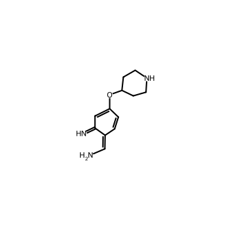 N=C1C=C(OC2CCNCC2)C=C/C1=C/N